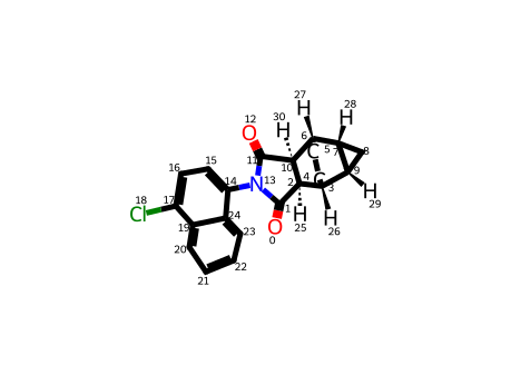 O=C1[C@@H]2[C@@H]3CC[C@@H]([C@@H]4C[C@@H]43)[C@@H]2C(=O)N1c1ccc(Cl)c2ccccc12